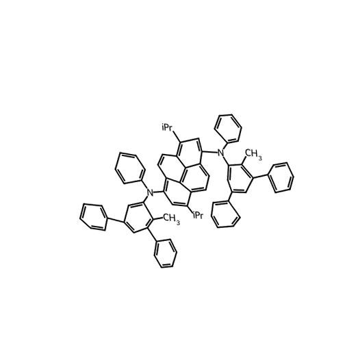 Cc1c(-c2ccccc2)cc(-c2ccccc2)cc1N(c1ccccc1)c1cc(C(C)C)c2ccc3c(N(c4ccccc4)c4cc(-c5ccccc5)cc(-c5ccccc5)c4C)cc(C(C)C)c4ccc1c2c43